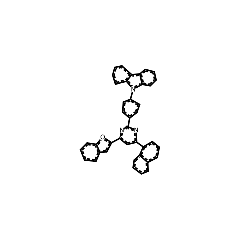 c1ccc2oc(-c3cc(-c4cccc5ccccc45)nc(-c4ccc(-n5c6ccccc6c6ccccc65)cc4)n3)cc2c1